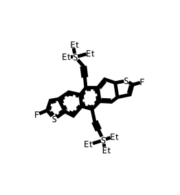 CCS(C#Cc1c2c(c(C#CS(CC)(CC)CC)c3cc4sc(F)cc4cc13)=CC1C=C(F)SC1C=2)(CC)CC